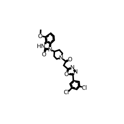 COc1cccc2c1[nH]c(=O)n2C1CCN(C(=O)Cc2nnc(-c3cc(Cl)cc(Cl)c3)o2)CC1